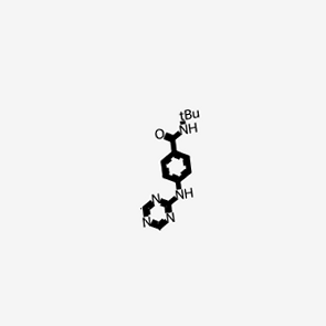 CC(C)(C)NC(=O)c1ccc(Nc2n[c]n[c]n2)cc1